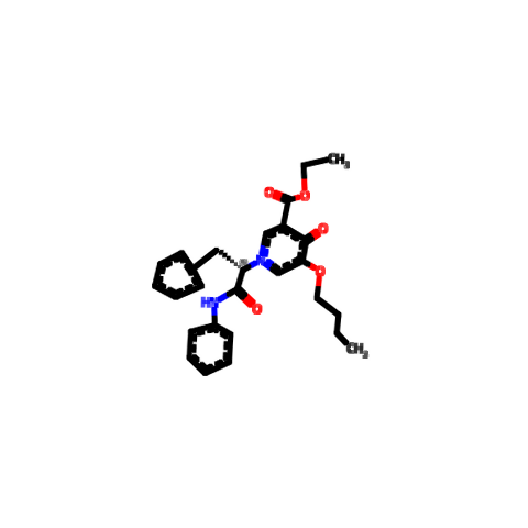 CCCCOc1cn([C@@H](Cc2ccccc2)C(=O)Nc2ccccc2)cc(C(=O)OCC)c1=O